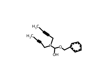 CC#CCN(CC#CC)C(O)OCc1ccccc1